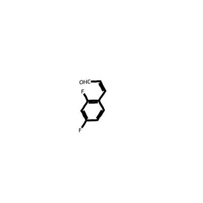 O=C/C=C\c1ccc(F)cc1F